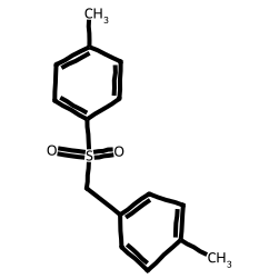 Cc1ccc(CS(=O)(=O)c2ccc(C)cc2)cc1